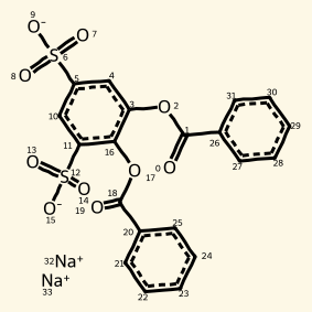 O=C(Oc1cc(S(=O)(=O)[O-])cc(S(=O)(=O)[O-])c1OC(=O)c1ccccc1)c1ccccc1.[Na+].[Na+]